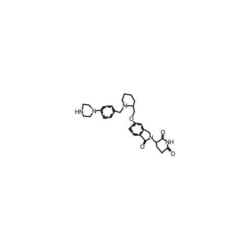 O=C1CCC(N2Cc3cc(OCC4CCCCN4Cc4ccc(N5CCNCC5)cc4)ccc3C2=O)C(=O)N1